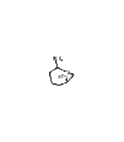 CCCC12CCCC(N)N1C2